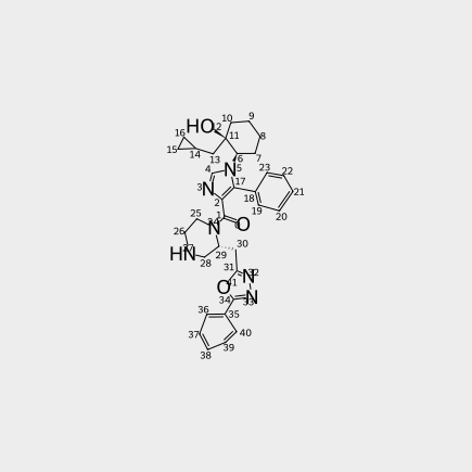 O=C(c1ncn([C@@H]2CCCC[C@@]2(O)CC2CC2)c1-c1ccccc1)N1CCNC[C@H]1Cc1nnc(-c2ccccc2)o1